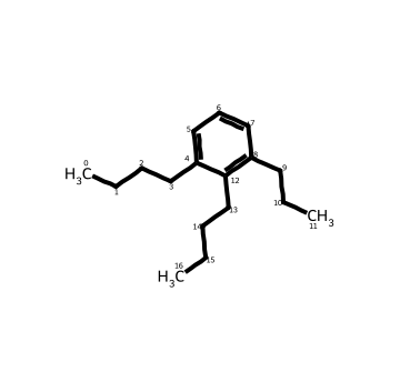 CCCCc1cc[c]c(CCC)c1CCCC